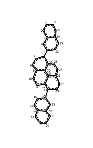 c1ccc2cc(-c3ccc4ccc5c(-c6ccc7ccccc7c6)ccc6ccc3c4c65)ccc2c1